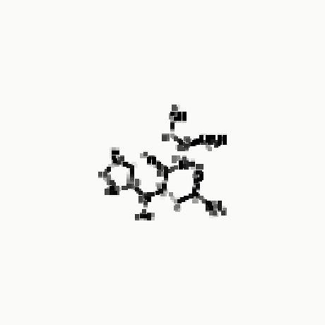 CC(=O)N(c1c[nH]cn1)[C@@H](CC(N)=O)C(=O)N[C@@H](CO)C(=O)O